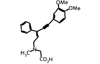 COc1ccc(C#C/C(=C/CN(C)CC(=O)O)c2ccccc2)cc1OC